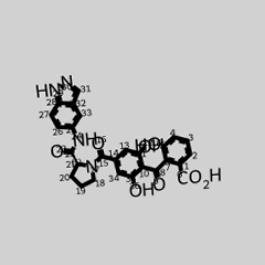 O=C(O)c1cccc(O)c1C(=O)c1c(O)cc(C(=O)N2CCC[C@H]2C(=O)Nc2ccc3[nH]ncc3c2)cc1O